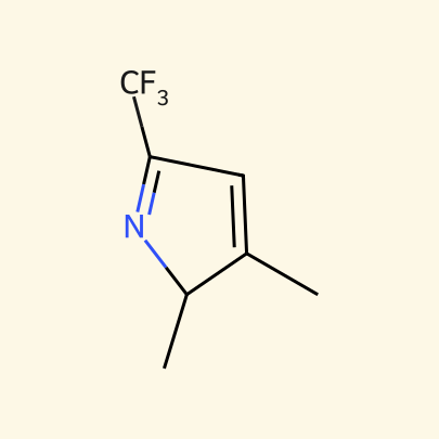 CC1=CC(C(F)(F)F)=NC1C